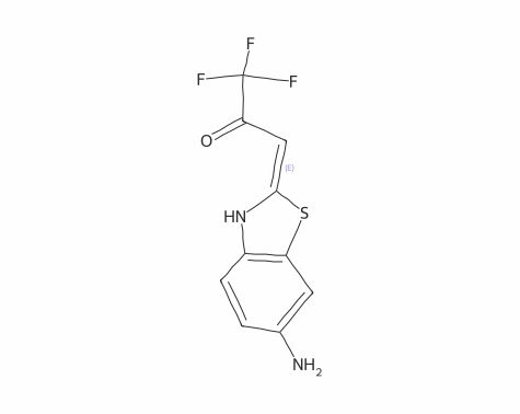 Nc1ccc2c(c1)S/C(=C/C(=O)C(F)(F)F)N2